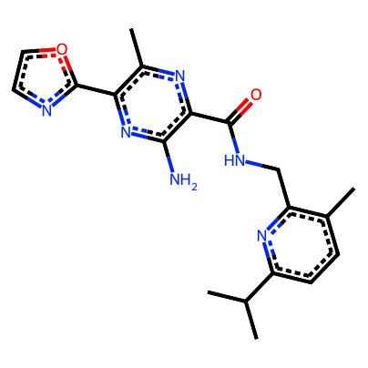 Cc1ccc(C(C)C)nc1CNC(=O)c1nc(C)c(-c2ncco2)nc1N